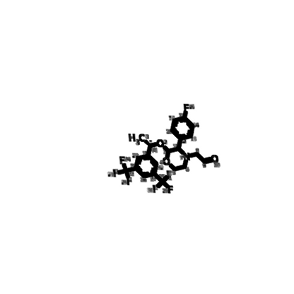 C[C@@H](OC1OCCN(CC=O)C1c1ccc(F)cc1)c1cc(C(F)(F)F)cc(C(F)(F)F)c1